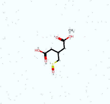 O=[S+]CC(CC(=O)O)CC(=O)O.[CH3]